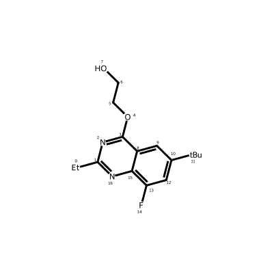 CCc1nc(OCCO)c2cc(C(C)(C)C)cc(F)c2n1